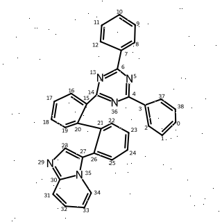 c1ccc(-c2nc(-c3ccccc3)nc(-c3ccccc3-c3ccccc3-c3cnc4ccccn34)n2)cc1